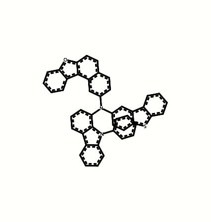 c1ccc(-n2c3ccccc3c3cccc(N(c4ccc5sc6ccccc6c5c4)c4ccc5ccc6oc7ccccc7c6c5c4)c32)cc1